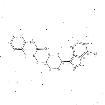 O=C(O)N(Cc1ccccc1)C[C@H]1CC[C@H](c2ncc3c(Cl)nccn32)CC1